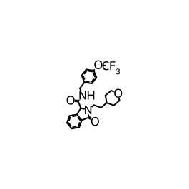 O=C(NCc1ccc(OC(F)(F)F)cc1)C1c2ccccc2C(=O)N1CCC1CCOCC1